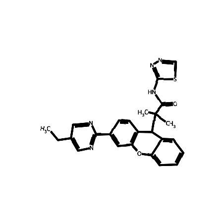 CCc1cnc(-c2ccc3c(c2)Oc2ccccc2C3C(C)(C)C(=O)Nc2nncs2)nc1